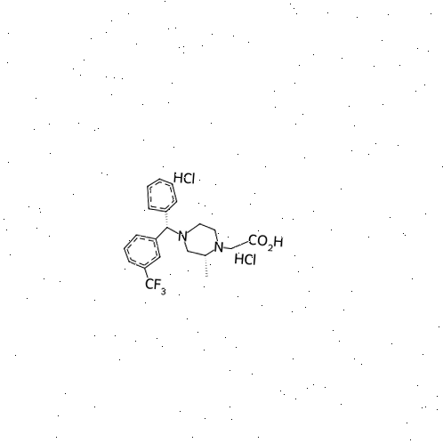 C[C@@H]1CN([C@@H](c2ccccc2)c2cccc(C(F)(F)F)c2)CCN1CC(=O)O.Cl.Cl